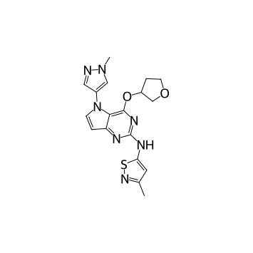 Cc1cc(Nc2nc(OC3CCOC3)c3c(ccn3-c3cnn(C)c3)n2)sn1